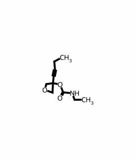 CCC#CC1(OC(=O)NCC)COC1